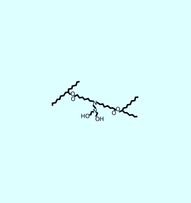 CCCCCCCCC(CCCCCC)COC(=O)CCCCCCCN(CCCCCCCC(=O)OCC(CCCCCC)CCCCCCCC)CCN(CCO)CCO